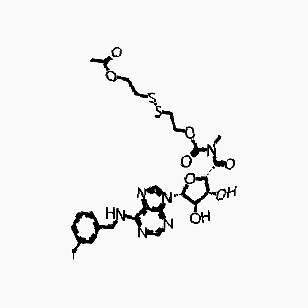 CC(=O)OCCSSCCOC(=O)N(C)C(=O)[C@H]1O[C@@H](n2cnc3c(NCc4cccc(I)c4)ncnc32)[C@H](O)[C@@H]1O